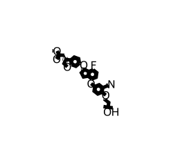 COC(=O)C[C@@H]1COc2cc(O[C@@H]3CCc4c(Oc5ccc(OCCC(C)(C)O)c(C#N)c5)ccc(F)c43)ccc21